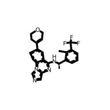 Cc1c([C@@H](C)Nc2nc3cncn3c3ccc(C4=CCOCC4)cc23)cccc1C(F)(F)F